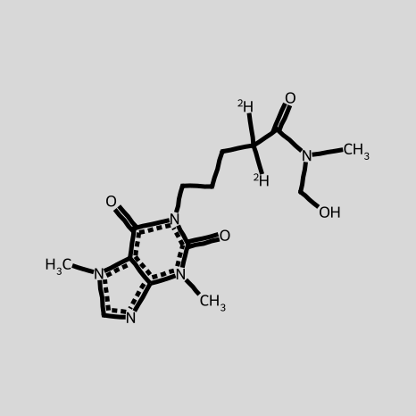 [2H]C([2H])(CCCn1c(=O)c2c(ncn2C)n(C)c1=O)C(=O)N(C)CO